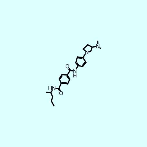 CCCC(C)NC(=O)c1ccc(C(=O)Nc2ccc(N3CCC(N(C)C)C3)cc2)cc1